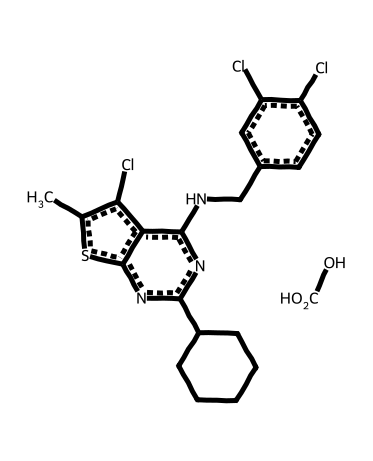 Cc1sc2nc(C3CCCCC3)nc(NCc3ccc(Cl)c(Cl)c3)c2c1Cl.O=C(O)O